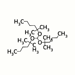 CCCCC(C)(C)OC(OC(C)(C)CCCC)OC(C)(C)CCCC